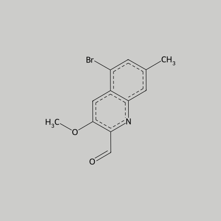 COc1cc2c(Br)cc(C)cc2nc1C=O